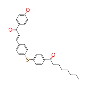 CCCCCCCC(=O)c1ccc(Sc2ccc(C=CC(=O)c3ccc(OC)cc3)cc2)cc1